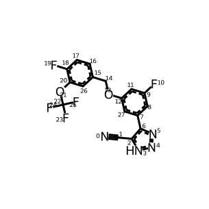 N#Cc1[nH]nnc1-c1cc(F)cc(OCc2ccc(F)c(OC(F)(F)F)c2)c1